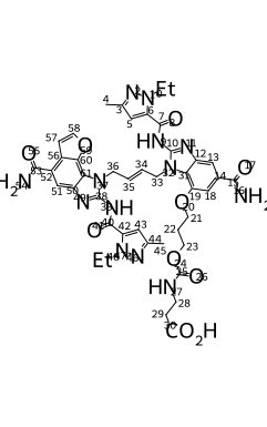 CCn1nc(C)cc1C(=O)Nc1nc2cc(C(N)=O)cc(OCCCOC(=O)NCCC(=O)O)c2n1CC=CCn1c(NC(=O)c2cc(C)nn2CC)nc2cc(C(N)=O)c3ccoc3c21